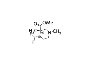 COC(=O)[C@]1(C)CN(C)CC[C@@H]1C(F)F